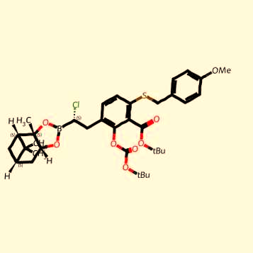 COc1ccc(CSc2ccc(C[C@@H](Cl)B3O[C@@H]4C[C@@H]5C[C@@H](C5(C)C)[C@]4(C)O3)c(OC(=O)OC(C)(C)C)c2C(=O)OC(C)(C)C)cc1